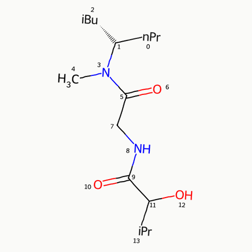 CCCC([C@@H](C)CC)N(C)C(=O)CNC(=O)C(O)C(C)C